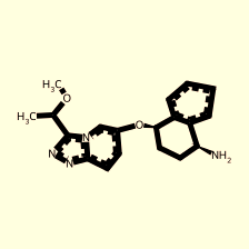 COC(C)c1nnc2ccc(O[C@@H]3CC[C@H](N)c4ccccc43)cn12